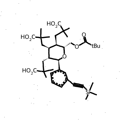 CC(C)(C)C(=O)OC[C@@H]1O[C@@H](c2cccc(C#C[Si](C)(C)C)c2)[C@H](CC(C)(C)C(=O)O)[C@@H](CC(C)(C)C(=O)O)[C@H]1CC(C)(C)C(=O)O